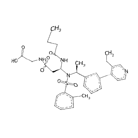 CCCC(=O)N[C@H](CS(=O)(=O)NCC(=O)O)N([C@@H](C)c1cccc(-c2ccncc2CC)c1)S(=O)(=O)c1ccccc1C